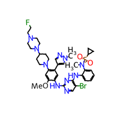 COc1cc(N2CCC(N3CCN(CCF)CC3)CC2)c(-c2cnn(C)c2)cc1Nc1ncc(Br)c(Nc2ccccc2N(C)S(=O)(=O)C2CC2)n1